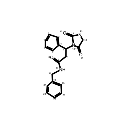 O=C(CC(c1ccccc1)N1C(=O)CSC1=O)NCc1ccccc1